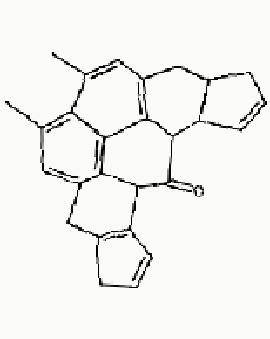 Cc1cc2c3c4c5c(cc(C)c14)CC1CC=CC1C5C(=O)C3C1=C(CC=C1)C2